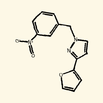 O=[N+]([O-])c1cccc(Cn2ccc(-c3ccco3)n2)c1